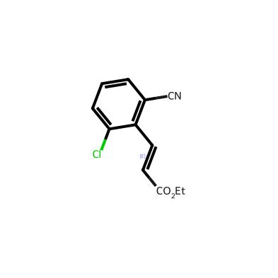 CCOC(=O)/C=C/c1c(Cl)cccc1C#N